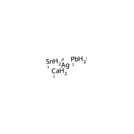 [Ag].[CaH2].[PbH2].[SnH2]